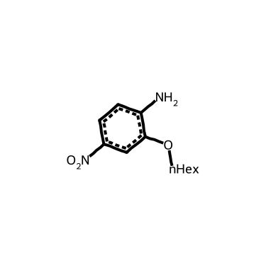 CCCCCCOc1cc([N+](=O)[O-])ccc1N